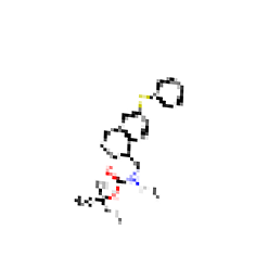 CN(CC1CCCc2cc(Sc3ccccc3)ccc21)C(=O)OC(C)(C)C